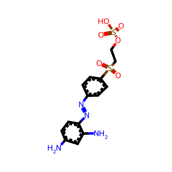 Nc1ccc(N=Nc2ccc(S(=O)(=O)CCOS(=O)(=O)O)cc2)c(N)c1